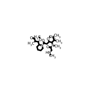 CCC(C)C(C(CC(=O)N1CCCCC1C(OC)C(C)C=O)OC)N(C)C(=O)CNC